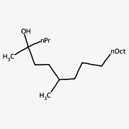 CCCCCCCCCCCC(C)CCC(C)(O)CCC